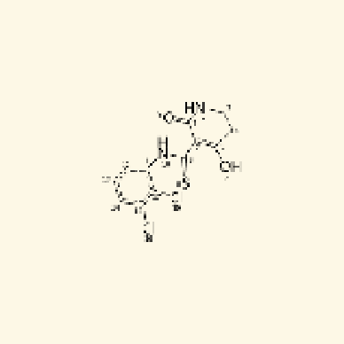 O=C1NCCC(O)=C1C(=S)Nc1cccc(Cl)c1Cl